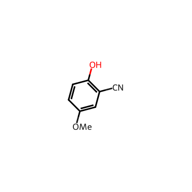 COc1ccc(O)c(C#N)c1